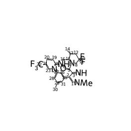 CN/C=C(\C(=N)C(=O)N1CC(F)(F)CC(C)C1CNc1ccc(C(F)(F)F)cn1)c1cccc(C)c1